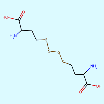 NC(CCSSSSCCC(N)C(=O)O)C(=O)O